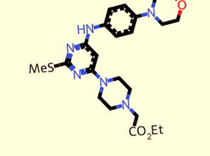 CCOC(=O)CN1CCN(c2cc(Nc3ccc(N4CCOCC4)cc3)nc(SC)n2)CC1